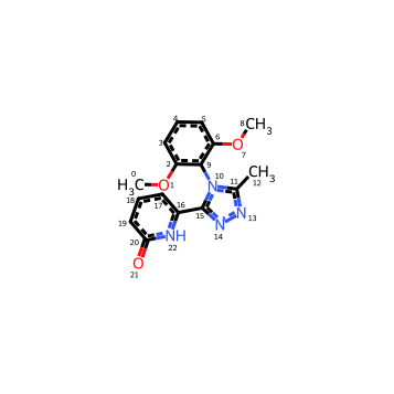 COc1cccc(OC)c1-n1c(C)nnc1-c1cccc(=O)[nH]1